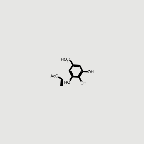 C=COC(C)=O.O=C(O)c1cc(O)c(O)c(O)c1